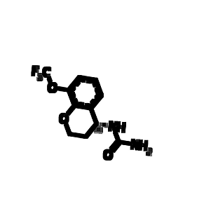 NC(=O)N[C@@H]1CCOc2c(OC(F)(F)F)cccc21